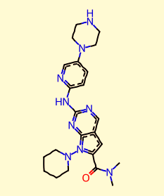 CN(C)C(=O)c1cc2cnc(Nc3ccc(N4CCNCC4)cn3)nc2n1N1CCCCC1